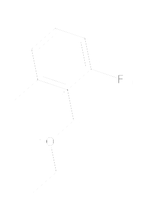 CCOCc1c(C)cccc1F